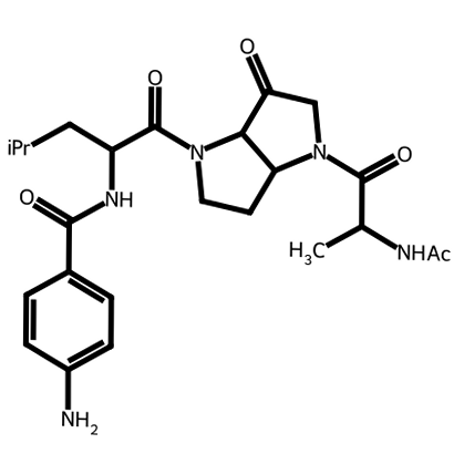 CC(=O)NC(C)C(=O)N1CC(=O)C2C1CCN2C(=O)C(CC(C)C)NC(=O)c1ccc(N)cc1